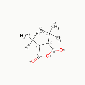 CCC(C)(CC)C1C(=O)OC(=O)C1C(C)(CC)CC